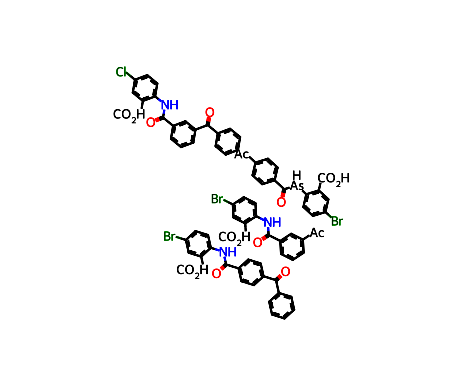 CC(=O)c1ccc(C(=O)[AsH]c2ccc(Br)cc2C(=O)O)cc1.CC(=O)c1cccc(C(=O)Nc2ccc(Br)cc2C(=O)O)c1.O=C(Nc1ccc(Br)cc1C(=O)O)c1ccc(C(=O)c2ccccc2)cc1.O=C(Nc1ccc(Cl)cc1C(=O)O)c1cccc(C(=O)c2ccccc2)c1